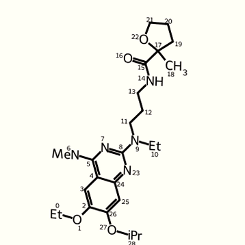 CCOc1cc2c(NC)nc(N(CC)CCCNC(=O)C3(C)CCCO3)nc2cc1OC(C)C